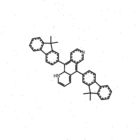 CC1(C)c2ccccc2-c2ccc(C3=c4cnccc4=C(c4ccc5c(c4)C(C)(C)c4ccccc4-5)C4NC=CC=C34)cc21